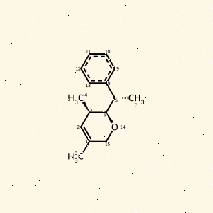 CC1=C[C@@H](C)[C@@H]([C@@H](C)c2ccccc2)OC1